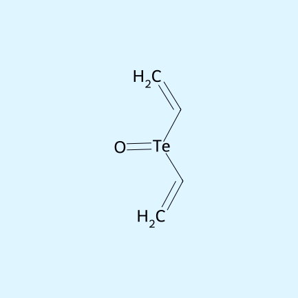 C=C[Te](=O)C=C